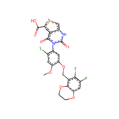 COc1cc(F)c(-n2c(=O)[nH]c3csc(C(=O)O)c3c2=O)cc1OCc1c(F)c(F)cc2c1OCCO2